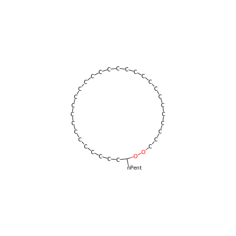 CCCCCC1CCCCCCCCCCCCCCCCCCCCCCCCCCCCCOO1